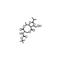 CC(C)C(=O)OC1C(C)OC(=O)C(NC(=O)OC(C)(C)C)COC(=O)C1CCO